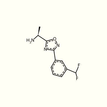 C[C@H](N)c1nc(-c2cccc(C(F)F)c2)no1